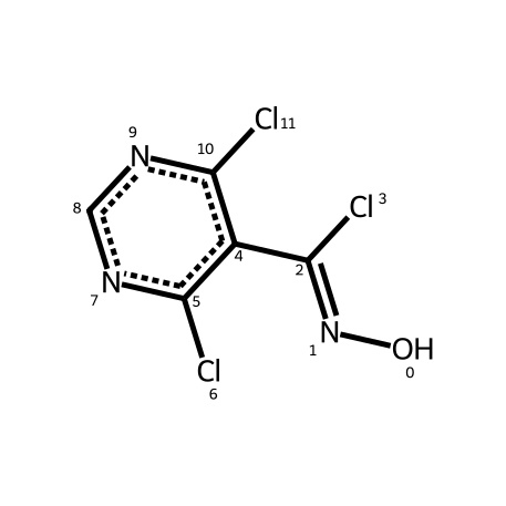 O/N=C(\Cl)c1c(Cl)ncnc1Cl